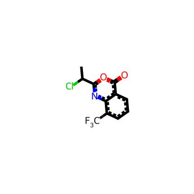 CC(Cl)c1nc2c(C(F)(F)F)cccc2c(=O)o1